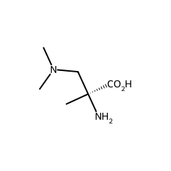 CN(C)C[C@](C)(N)C(=O)O